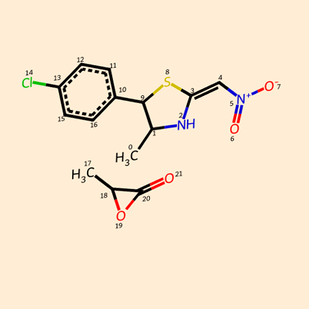 CC1NC(=C[N+](=O)[O-])SC1c1ccc(Cl)cc1.CC1OC1=O